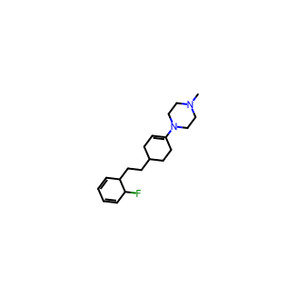 CN1CCN(C2=CCC(CCC3C=CC=CC3F)CC2)CC1